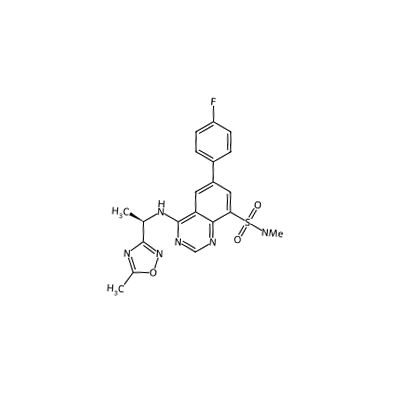 CNS(=O)(=O)c1cc(-c2ccc(F)cc2)cc2c(N[C@H](C)c3noc(C)n3)ncnc12